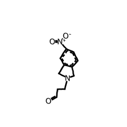 O=CCCN1Cc2ccc([N+](=O)[O-])cc2C1